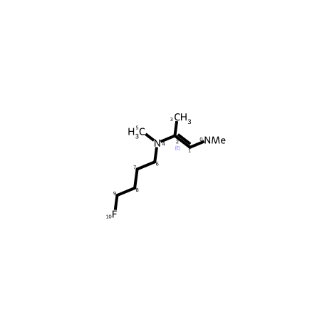 CN/C=C(\C)N(C)CCCCF